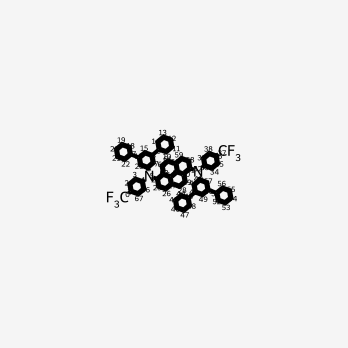 FC(F)(F)c1ccc(N(c2cc(-c3ccccc3)cc(-c3ccccc3)c2)c2ccc3ccc4c(N(c5ccc(C(F)(F)F)cc5)c5cc(-c6ccccc6)cc(-c6ccccc6)c5)ccc5ccc2c3c54)cc1